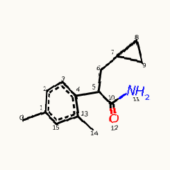 Cc1ccc(C(CC2CC2)C(N)=O)c(C)c1